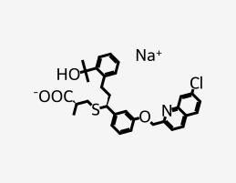 C[C@@H](CS[C@@H](CCc1ccccc1C(C)(C)O)c1cccc(OCc2ccc3ccc(Cl)cc3n2)c1)C(=O)[O-].[Na+]